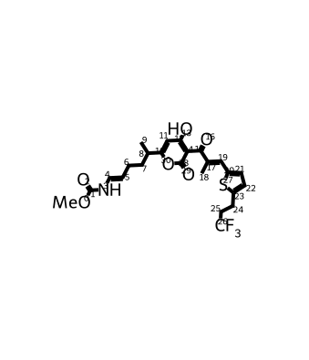 COC(=O)N/C=C/CCC(C)c1cc(O)c(C(=O)/C(C)=C/c2ccc(CCC(F)(F)F)s2)c(=O)o1